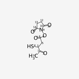 CC(=O)C(S)CC(=O)ON1C(=O)CCC1=O